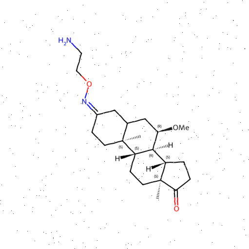 CO[C@@H]1CC2CC(=NOCCN)CC[C@]2(C)[C@H]2CC[C@]3(C)C(=O)CC[C@H]3[C@H]12